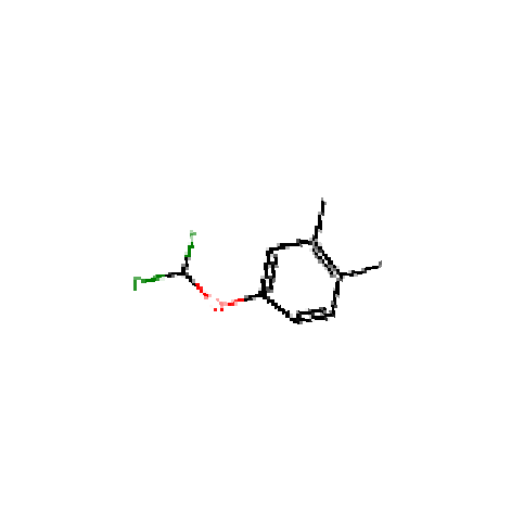 Cc1ccc(OC(F)F)cc1C